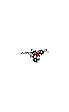 COCOC[C@@H]1[C@@H]2CC[C@@H]([C@H](Oc3ccc(C(F)(F)F)cn3)C2)N1C(=O)c1cccc(F)c1-n1nccn1